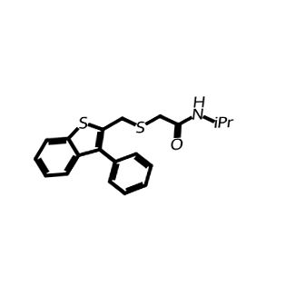 CC(C)NC(=O)CSCc1sc2ccccc2c1-c1ccccc1